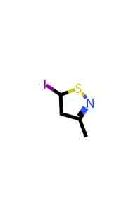 CC1=NSC(I)C1